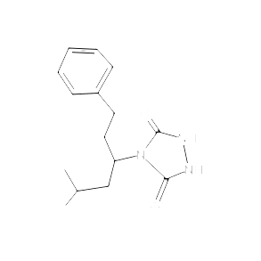 CC(C)CC(CCc1ccccc1)n1c(=O)[nH][nH]c1=O